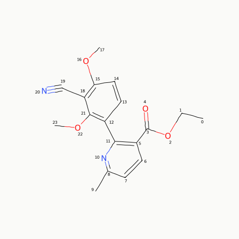 CCOC(=O)c1ccc(C)nc1-c1ccc(OC)c(C#N)c1OC